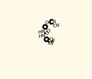 N#Cc1cc(Oc2ccc(NC(=O)Nc3ccc4c(c3)OC(F)(F)O4)c(Cl)c2)ccn1